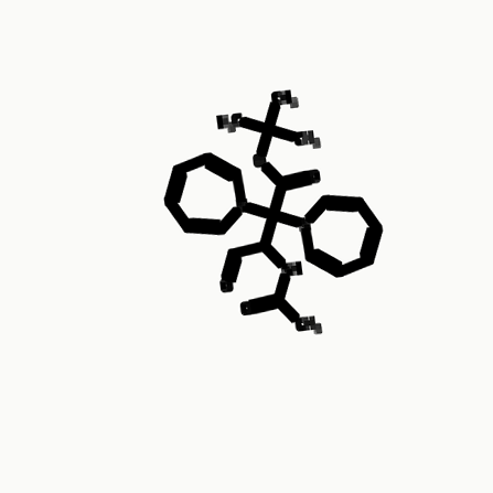 CC(=O)NC(C=O)C(C(=O)OC(C)(C)C)(N1C=CC=CC=C1)N1C=CC=CC=C1